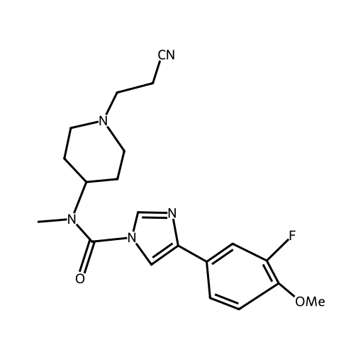 COc1ccc(-c2cn(C(=O)N(C)C3CCN(CCC#N)CC3)cn2)cc1F